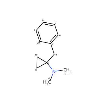 CN(C)C1(Cc2ccccc2)CC1